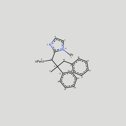 CCCCCC(c1nccn1C(C)C)C(C)(Cc1ccccc1)c1ccccc1